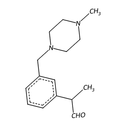 CC(C=O)c1cccc(CN2CCN(C)CC2)c1